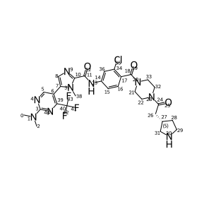 CN(C)c1ncc(-c2cnc(C(=O)Nc3ccc(C(=O)N4CCN(C(=O)C[C@@H]5CCNC5)CC4)c(Cl)c3)n2C)c(C(F)(F)F)n1